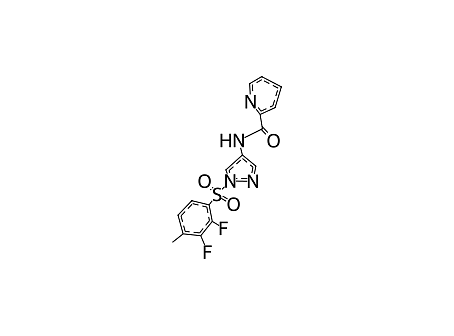 Cc1ccc(S(=O)(=O)n2cc(NC(=O)c3ccccn3)cn2)c(F)c1F